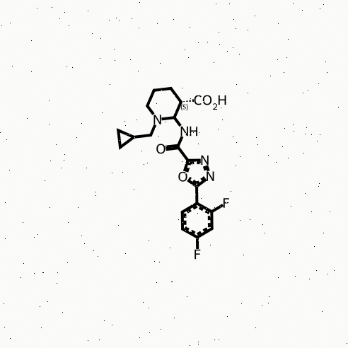 O=C(NC1[C@@H](C(=O)O)CCCN1CC1CC1)c1nnc(-c2ccc(F)cc2F)o1